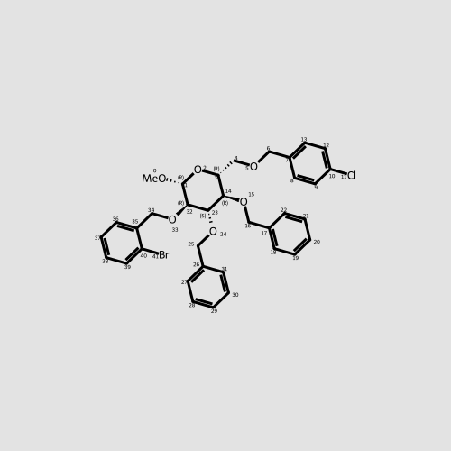 CO[C@@H]1O[C@H](COCc2ccc(Cl)cc2)[C@@H](OCc2ccccc2)[C@H](OCc2ccccc2)[C@H]1OCc1ccccc1Br